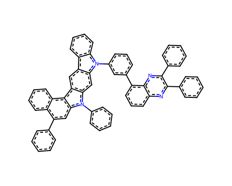 c1ccc(-c2nc3cccc(-c4cccc(-n5c6ccccc6c6cc7c8c9ccccc9c(-c9ccccc9)cc8n(-c8ccccc8)c7cc65)c4)c3nc2-c2ccccc2)cc1